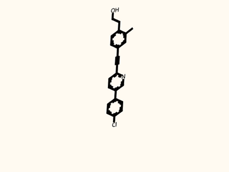 Cc1cc(C#Cc2ccc(-c3ccc(Cl)cc3)cn2)ccc1CCO